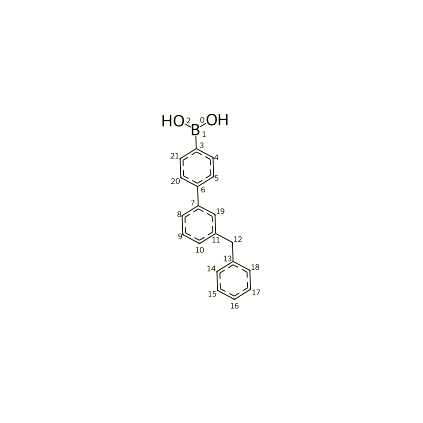 OB(O)c1ccc(-c2cccc(Cc3ccccc3)c2)cc1